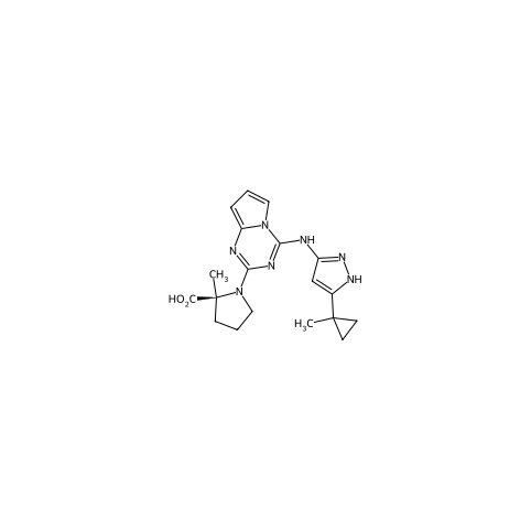 CC1(c2cc(Nc3nc(N4CCC[C@@]4(C)C(=O)O)nc4cccn34)n[nH]2)CC1